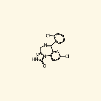 O=c1[nH]nc2n1-c1ccc(Cl)nc1C(c1ccccc1Cl)=NC2